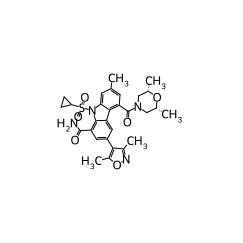 Cc1cc(C(=O)N2C[C@@H](C)O[C@@H](C)C2)c2c3cc(-c4c(C)noc4C)cc(C(N)=O)c3n(S(=O)(=O)C3CC3)c2c1